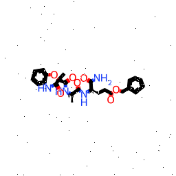 C[C@@H](NC(=O)C1(C)Oc2ccccc2NC1=O)C(=O)N[C@H](CCC(=O)OCc1ccccc1)C(N)=O